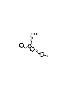 O=C(O)CON=Cc1cn(Cc2ccccc2)c2ccc(OCc3ccc(Br)cc3)cc12